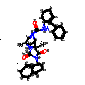 O=C1[C@@H]2C3C[C@H](CN3C(=O)Nc3ccccc3-c3ccccc3)N2C(=O)N1c1cccc2ccccc12